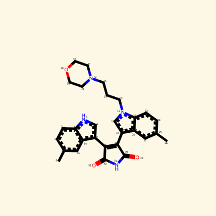 Cc1ccc2[nH]cc(C3=C(c4cn(CCCN5CCOCC5)c5ccc(C)cc45)C(=O)NC3=O)c2c1